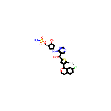 Cc1sc(C(O)c2cncnc2N[C@@H]2C[C@H](COS(N)(=O)=O)[C@@H](O)C2)cc1C1OCCc2ccc(Cl)cc21